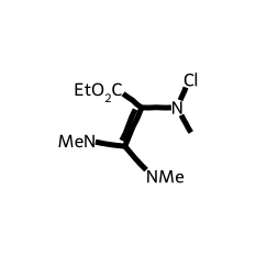 CCOC(=O)C(=C(NC)NC)N(C)Cl